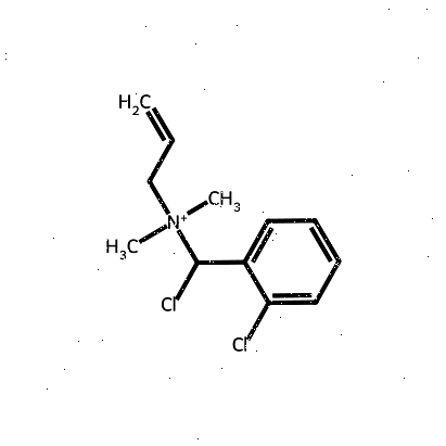 C=CC[N+](C)(C)C(Cl)c1ccccc1Cl